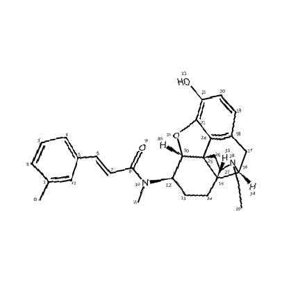 Cc1cccc(C=CC(=O)N(C)[C@@H]2CC[C@H]3[C@H]4Cc5ccc(O)c6c5[C@@]3(CCN4C)[C@H]2O6)c1